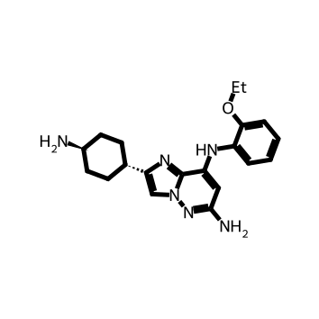 CCOc1ccccc1Nc1cc(N)nn2cc([C@H]3CC[C@H](N)CC3)nc12